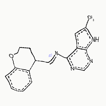 FC(F)(F)c1cc2c(/N=C/C3CCOc4ccccc43)ncnc2[nH]1